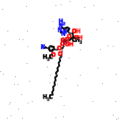 CCCCCCCCCCCCCCCCCCOC[C@@H](COP(=O)(O)OC[C@@]1(C)O[C@@H](c2ccc3c(N)ncnn23)[C@H](O)[C@@H]1O)OCc1ccc(C#N)cc1OC